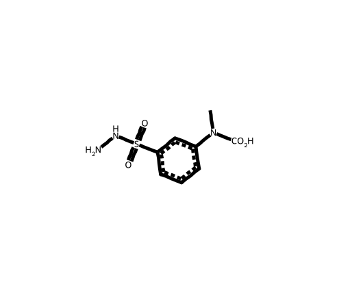 CN(C(=O)O)c1cccc(S(=O)(=O)NN)c1